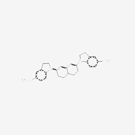 COc1ccc2c(c1)CCN2C1=CC2=C/C(=[N+]3\CCc4cc(OC)ccc43)CCC2CC1